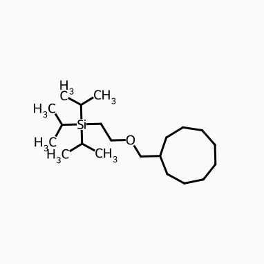 CC(C)[Si](CCOCC1CCCCCCCC1)(C(C)C)C(C)C